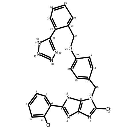 CCc1nc2nc(-c3ccccc3Cl)sc2n1Cc1ccc(OCc2ccccc2-c2nnn[nH]2)cc1